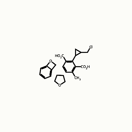 C1CCOC1.Cc1ccc(C(=O)O)c(C2CC2CCl)c1C(=O)O.c1ccc2c(c1)CO2